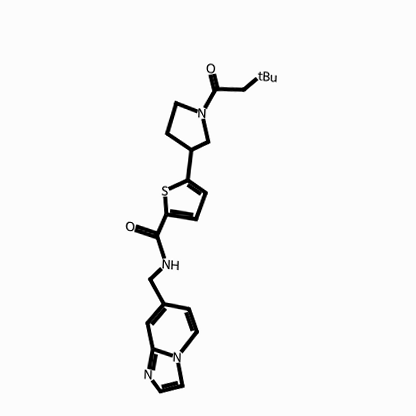 CC(C)(C)CC(=O)N1CCC(c2ccc(C(=O)NCc3ccn4ccnc4c3)s2)C1